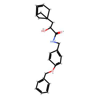 O=C(NCc1ccc(OCc2ccccc2)cc1)C(O)CC12CC=C=C(C1)C2